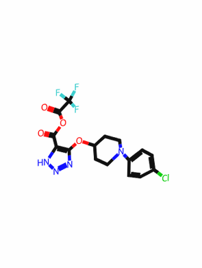 O=C(OC(=O)C(F)(F)F)c1[nH]nnc1OC1CCN(c2ccc(Cl)cc2)CC1